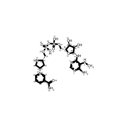 CNc1c(N)ncnc1N[C@@H]1O[C@H](COP(=O)(O)OP(=O)(O)OC[C@@H]2C[C@H]([n+]3cccc(C(N)=O)c3)CN2)[C@@H](O)[C@H]1O